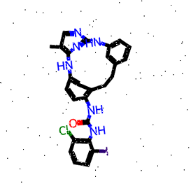 Cc1cnc2nc1Nc1ccc(NC(=O)Nc3c(Cl)cccc3I)c(c1)CCc1cccc(c1)N2